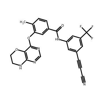 Cc1ccc(C(=O)Nc2cc(C#CC#N)cc(C(F)(F)F)c2)cc1Oc1ncnc2c1OCCN2